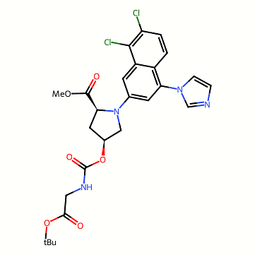 COC(=O)[C@@H]1C[C@H](OC(=O)NCC(=O)OC(C)(C)C)CN1c1cc(-n2ccnc2)c2ccc(Cl)c(Cl)c2c1